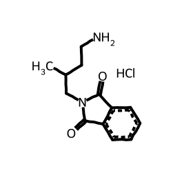 CC(CCN)CN1C(=O)c2ccccc2C1=O.Cl